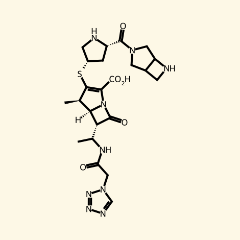 CC(NC(=O)Cn1cnnn1)[C@H]1C(=O)N2C(C(=O)O)=C(S[C@@H]3CN[C@H](C(=O)N4CC5CNC5C4)C3)[C@H](C)[C@H]12